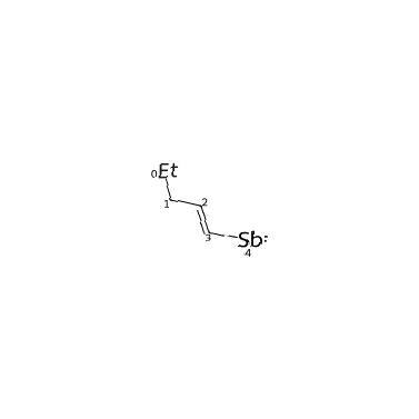 CCC/C=[CH]/[Sb]